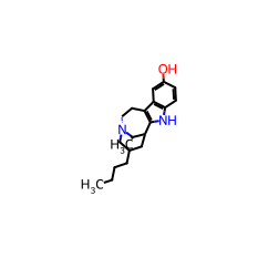 CCCCC1CC2c3[nH]c4ccc(O)cc4c3CC[N@@](C1)C2C